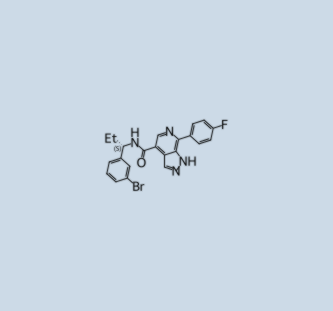 CC[C@H](NC(=O)c1cnc(-c2ccc(F)cc2)c2[nH]ncc12)c1cccc(Br)c1